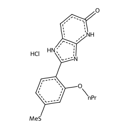 CCCOc1cc(SC)ccc1-c1nc2[nH]c(=O)ccc2[nH]1.Cl